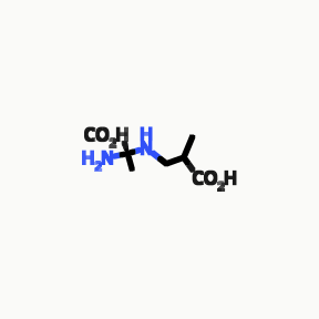 CC(CN[C@](C)(N)C(=O)O)C(=O)O